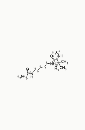 CNC(C(=O)NCCCCCNC(=O)CN)C(C)(C)C